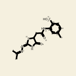 CC(C)=N/N=C1\NC(=O)C(CC(=O)Nc2cc(C)ccc2C(=O)O)S1